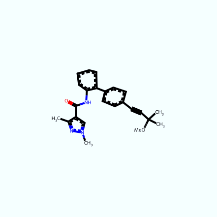 COC(C)(C)C#Cc1ccc(-c2ccccc2NC(=O)c2cn(C)nc2C)cc1